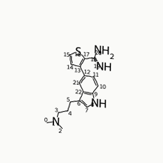 CN(C)CCCc1c[nH]c2ccc(-c3ccsc3C(=N)N)cc12